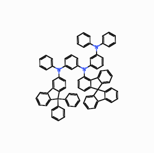 c1ccc(N(c2ccccc2)c2cccc(N(c3cccc(N(c4ccccc4)c4ccc5c(c4)-c4ccccc4C5(c4ccccc4)c4ccccc4)c3)c3cccc4c3-c3ccccc3C43c4ccccc4-c4ccccc43)c2)cc1